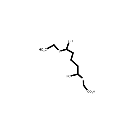 O=C(O)CSC(O)CCCC(O)SCC(=O)O